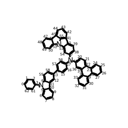 c1ccc(-n2c3ccccc3c3cc(-c4ccc(N(c5ccc6c7ccccc7c7ccccc7c6c5)c5ccc6c7cccc8c9ccccc9n(c6c5)c87)cc4)ccc32)cc1